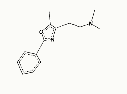 Cc1oc(-c2ccccc2)nc1CCN(C)C